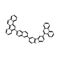 c1ccc2c(c1)cc(-c1ccc3oc4ccc(-c5ccc6cc(-c7cc8c9ccccc9ccc8c8ccccc78)ccc6c5)cc4c3c1)c1ccccc12